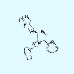 CC(C)(C)[C@@H](NC[C@H](F)CN)c1nc(-c2ccccc2)cn1Cc1ccccc1